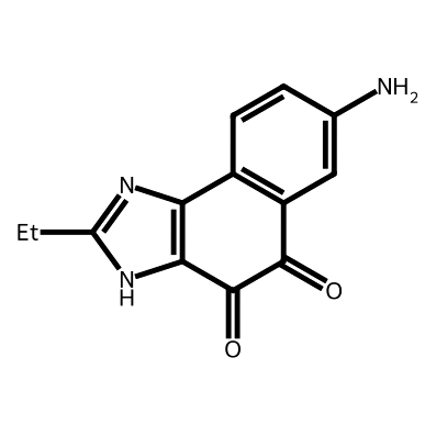 CCc1nc2c([nH]1)C(=O)C(=O)c1cc(N)ccc1-2